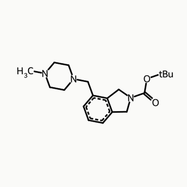 CN1CCN(Cc2cccc3c2CN(C(=O)OC(C)(C)C)C3)CC1